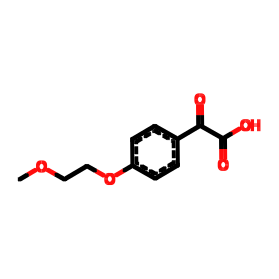 COCCOc1ccc(C(=O)C(=O)O)cc1